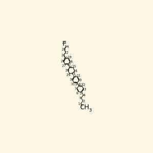 CCCCCc1ccc(-c2ccc([C@H]3CC[C@H](c4ccc(CCCCF)cc4)CC3)cc2)cc1